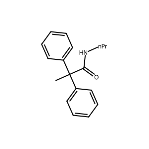 CCCNC(=O)C(C)(c1ccccc1)c1ccccc1